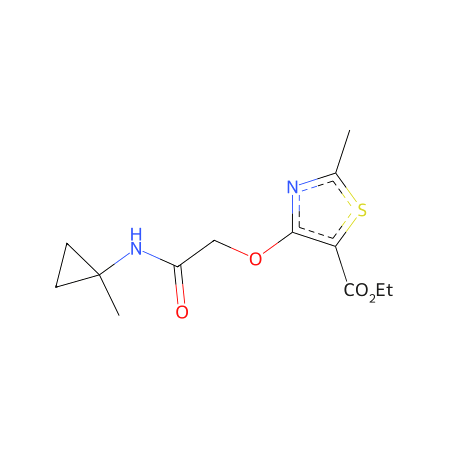 CCOC(=O)c1sc(C)nc1OCC(=O)NC1(C)CC1